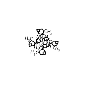 CC1CC2CC(=CC(C)(c3cc4c5c(c3)nc(C3(C)CC(C)CC6CC(C6)C3)n5-c3cccc5c3B4c3cc(C4(C)CC(C)CC6CC(C6)C4)cc4nc(C6(C)C=C7CC(C7)CC(C)C6)n-5c34)C1)C2